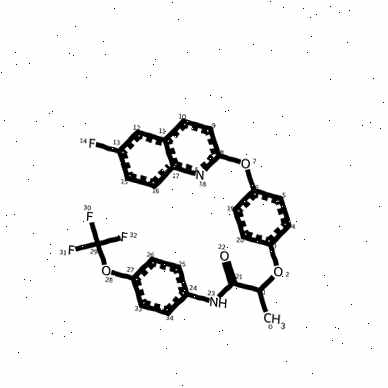 CC(Oc1ccc(Oc2ccc3cc(F)ccc3n2)cc1)C(=O)Nc1ccc(OC(F)(F)F)cc1